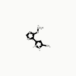 Cc1cc(-c2ocnc2OC(=O)O)on1